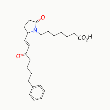 O=C(O)CCCCCCN1C(=O)CCC1C=CC(=O)CCCCc1ccccc1